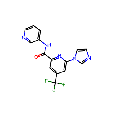 O=C(Nc1cccnc1)c1cc(C(F)(F)F)cc(-n2ccnc2)n1